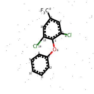 FC(F)(F)c1cc(Cl)c(Oc2cc[c]cc2)c(Cl)c1